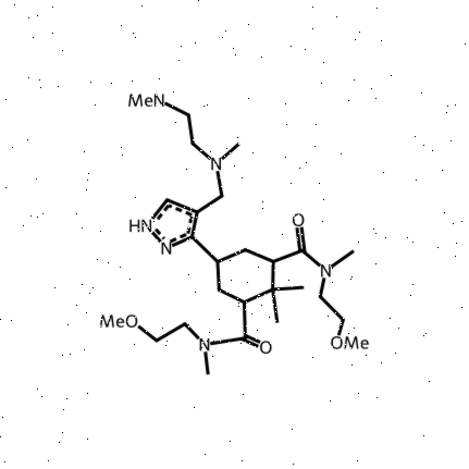 CNCCN(C)Cc1c[nH]nc1C1CC(C(=O)N(C)CCOC)C(C)(C)C(C(=O)N(C)CCOC)C1